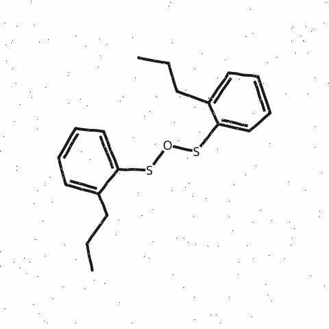 CCCc1ccccc1SOSc1ccccc1CCC